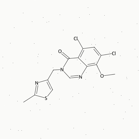 COc1c(Cl)cc(Cl)c2c(=O)n(Cc3csc(C)n3)cnc12